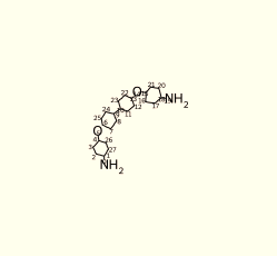 NC1CCC(OC2CCC(C3CCC(OC4CCC(N)CC4)CC3)CC2)CC1